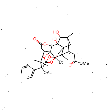 C/C=C\C(=C/C)C(OC(C)=O)C(C)(C)C1CC(=O)OC2C3(O)C(O)C4(C)CC35OC3(C)OC12C(CC)(O3)C5(C)C4CC(=O)OC